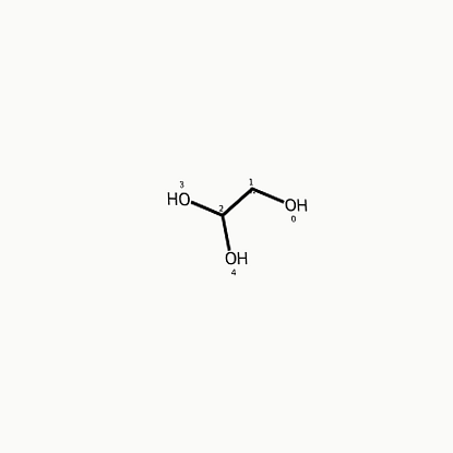 O[C]C(O)O